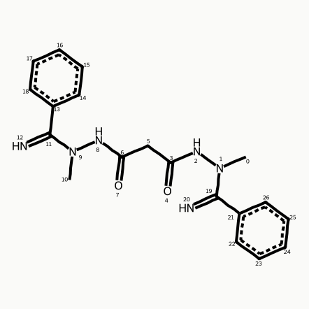 CN(NC(=O)CC(=O)NN(C)C(=N)c1ccccc1)C(=N)c1ccccc1